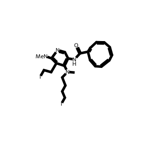 CNc1ncc(NC(=O)c2ccccccccc2)c(N(C)CCCCI)c1CCI